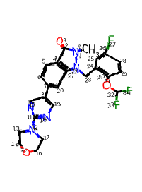 Cn1c(=O)c2ccc(-c3cnc(N4CCOCC4)nc3)cc2n1Cc1cc(F)ccc1OC(F)F